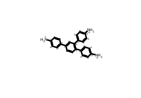 Nc1ccc(-c2ccc(-c3ccc(N)cc3)c(-c3ccc(N)cc3)c2)cc1